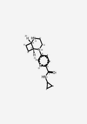 O=C(NC1CC1)c1ccc(N2CCN[C@H]3CC[C@H]32)cn1